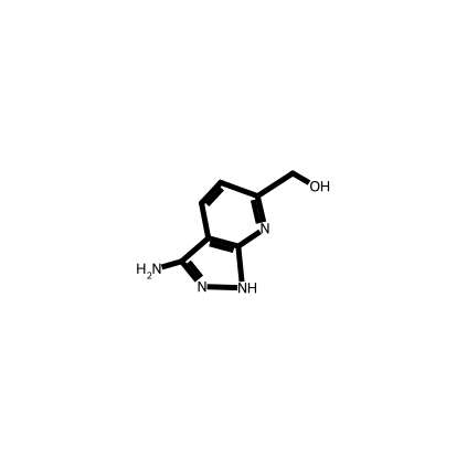 Nc1n[nH]c2nc(CO)ccc12